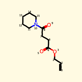 C=CCOC(=O)CCC(=O)N1CCCCC1